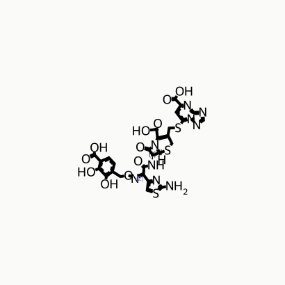 Nc1nc(/C(=N/OCc2ccc(C(=O)O)c(O)c2O)C(=O)N[C@@H]2C(=O)N3C(C(=O)O)=C(CSc4cc(C(=O)O)nc5ncnn45)CS[C@H]23)cs1